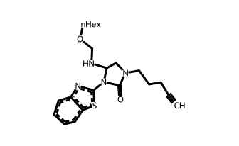 C#CCCCN1CC(NCOCCCCCC)N(c2nc3ccccc3s2)C1=O